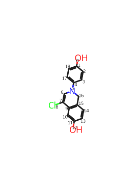 Oc1ccc(N2C=C(Cl)c3cc(O)ccc3C2)cc1